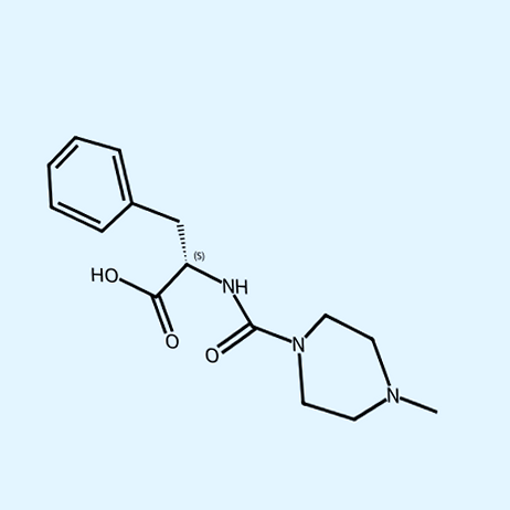 CN1CCN(C(=O)N[C@@H](Cc2ccccc2)C(=O)O)CC1